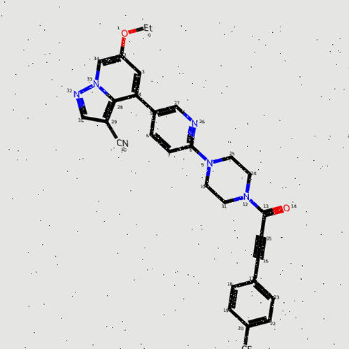 CCOc1cc(-c2ccc(N3CCN(C(=O)C#Cc4ccc(C(F)(F)F)cc4)CC3)nc2)c2c(C#N)cnn2c1